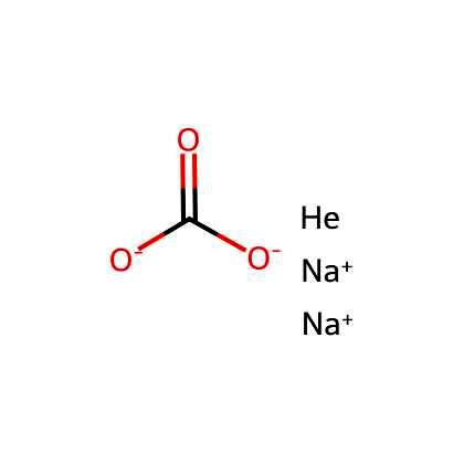 O=C([O-])[O-].[He].[Na+].[Na+]